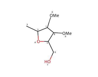 COC1C(C)OC(CO)C1OC